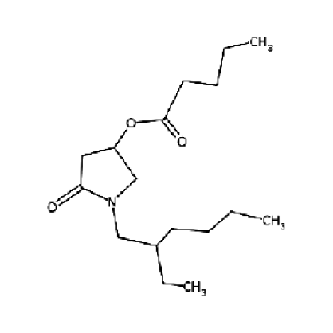 CCCCC(=O)OC1CC(=O)N(CC(CC)CCCC)C1